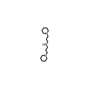 C1CCN(CCCNCCCN2CCCCC2)CC1